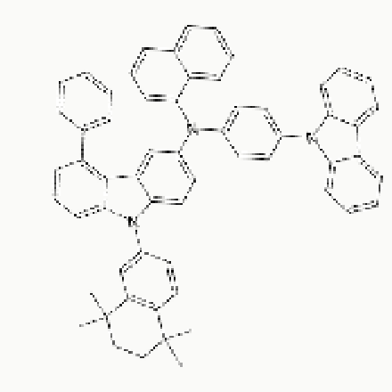 CC1(C)CCC(C)(C)c2cc(-n3c4ccc(N(c5ccc(-n6c7ccccc7c7ccccc76)cc5)c5cccc6ccccc56)cc4c4c(-c5ccccc5)cccc43)ccc21